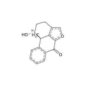 CC12c3ccccc3C(=O)c3occ(c31)CC[C@H]2O